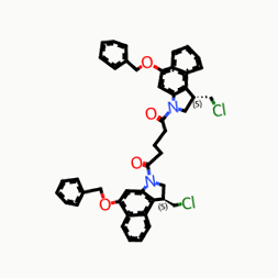 O=C(CCCC(=O)N1C[C@@H](CCl)c2c1cc(OCc1ccccc1)c1ccccc21)N1C[C@@H](CCl)c2c1cc(OCc1ccccc1)c1ccccc21